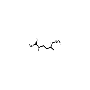 CC(=O)C(=O)NCCC(C)O[N+](=O)[O-]